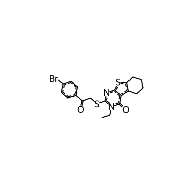 CCn1c(SCC(=O)c2ccc(Br)cc2)nc2sc3c(c2c1=O)CCCC3